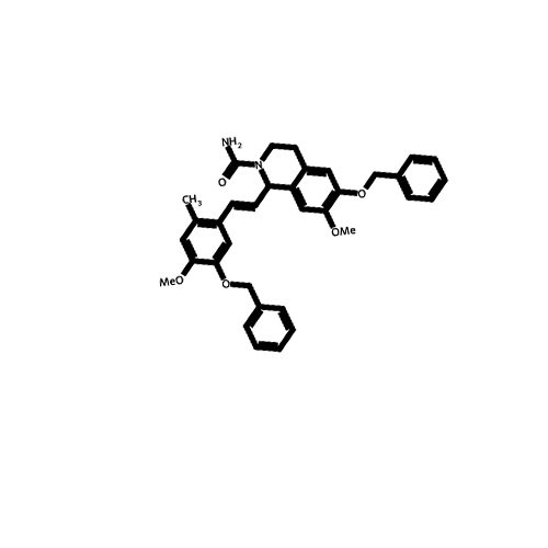 COc1cc(C)c(C=CC2c3cc(OC)c(OCc4ccccc4)cc3CCN2C(N)=O)cc1OCc1ccccc1